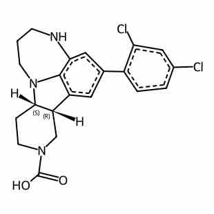 O=C(O)N1CC[C@H]2[C@@H](C1)c1cc(-c3ccc(Cl)cc3Cl)cc3c1N2CCCN3